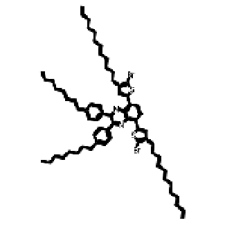 CCCCCCCCCCCCc1cc(-c2ccc(-c3cc(CCCCCCCCCCCC)c(Br)s3)c3nc(-c4ccc(CCCCCCCC)cc4)c(-c4ccc(CCCCCCCC)cc4)nc23)sc1Br